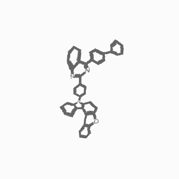 C1=CC(c2nc(-c3ccc(-c4ccccc4)cc3)c3c(n2)=CCCC=3)CC=C1n1c2ccccc2c2c3c(ccc21)oc1ccccc13